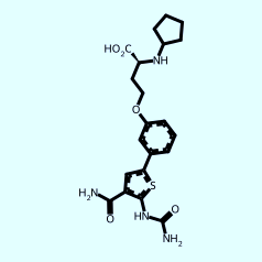 NC(=O)Nc1sc(-c2cccc(OCC[C@H](NC3CCCC3)C(=O)O)c2)cc1C(N)=O